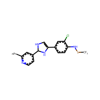 CCCc1cc(C2NC=C(c3ccc(NSC(F)(F)F)c(Cl)c3)N2)ccn1